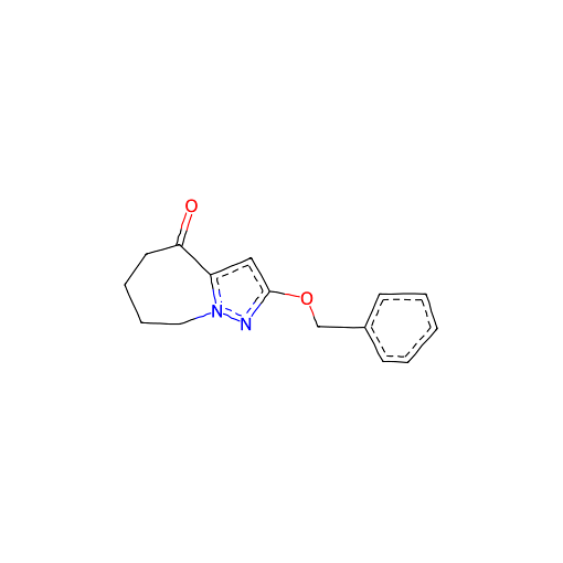 O=C1CCCCn2nc(OCc3ccccc3)cc21